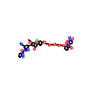 CCOc1cc2oc(-c3ccc(OCCOCCOCCOCCOc4cccc5c4C(=O)N(C4CCC(=O)NC4=O)C5=O)cc3Cl)cc(=O)c2cc1-c1cc(C#N)cc(NC(=O)Nc2ccccc2)c1